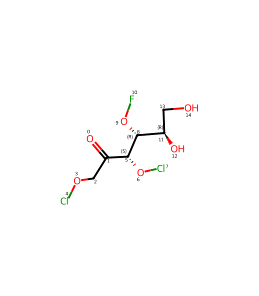 O=C(COCl)[C@@H](OCl)[C@H](OF)[C@H](O)CO